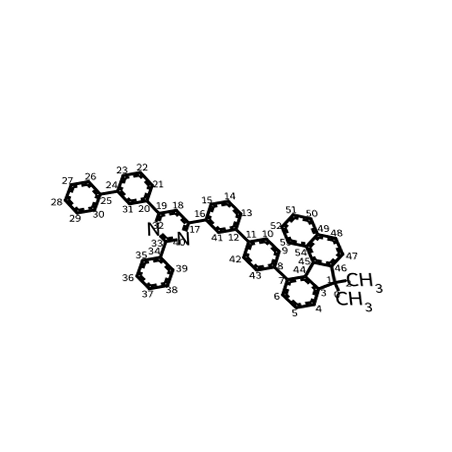 CC1(C)c2cccc(-c3ccc(-c4cccc(-c5cc(-c6cccc(-c7ccccc7)c6)nc(-c6ccccc6)n5)c4)cc3)c2-c2c1ccc1ccccc21